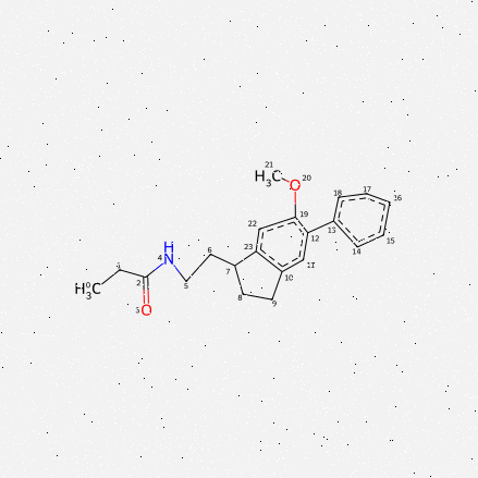 CCC(=O)NCCC1CCc2cc(-c3ccccc3)c(OC)cc21